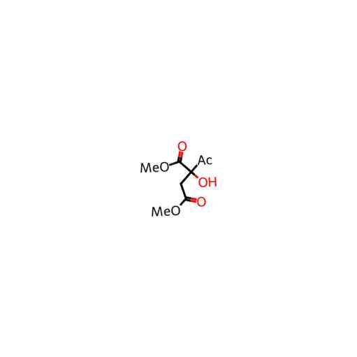 COC(=O)CC(O)(C(C)=O)C(=O)OC